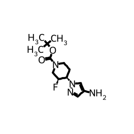 CC(C)(C)OC(=O)N1CC[C@@H](n2cc(N)cn2)[C@@H](F)C1